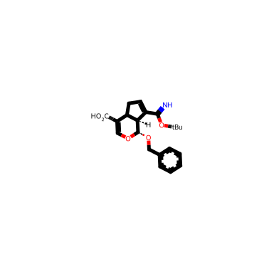 CC(C)(C)OC(=N)C1=CCC2C(C(=O)O)=CO[C@@H](OCc3ccccc3)[C@H]12